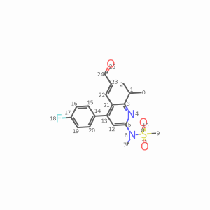 CC(C)c1nc(N(C)S(C)(=O)=O)cc(-c2ccc(F)cc2)c1C=CC=O